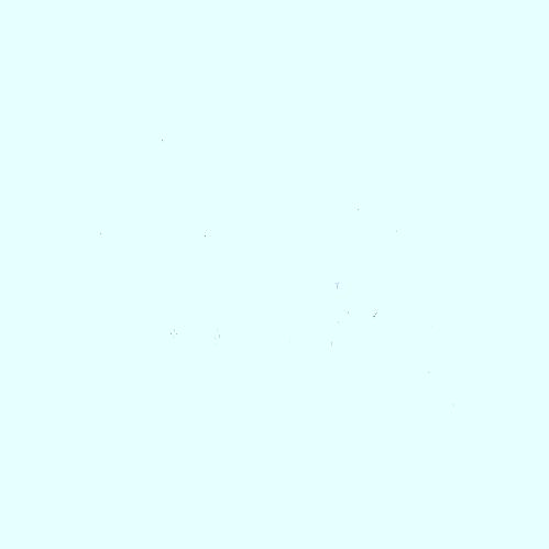 CC1(C)c2ccccc2-c2ccc(N(c3ccc4c(c3)C(C)(C)c3ccccc3-4)c3cc4c(c5ccccc35)-c3c(ccc5ccccc35)C4(c3ccccc3)C3(c4ccccc4)c4ccc5ccccc5c4-c4c3cc(N(c3ccc5c(c3)C(C)(C)c3ccccc3-5)c3ccc5c(c3)C(C)(C)c3ccccc3-5)c3ccccc43)cc21